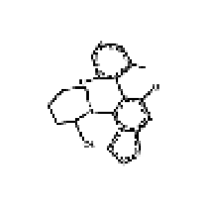 CC1CCCCN1c1c(-c2c(F)cccc2Cl)c(Cl)nc2nccn12